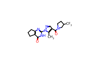 Cc1c(C(=O)N2CCC(C(F)(F)F)C2)cnn1-c1nc2c(c(=O)[nH]1)CCC2